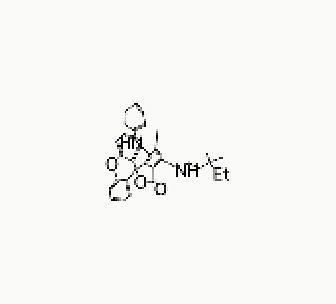 CCC(C)(C)CCNc1cc(C)c(Nc2ccccc2)c2c1C(=O)OC21c2ccccc2Oc2ccccc21